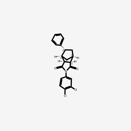 O=C1[C@@H]2[C@H]3C[C@@H]([C@@H]2C(=O)N1c1ccc(Cl)c(Cl)c1)[C@H](c1ccccc1)C3